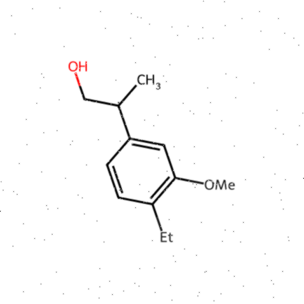 CCc1ccc([C](C)CO)cc1OC